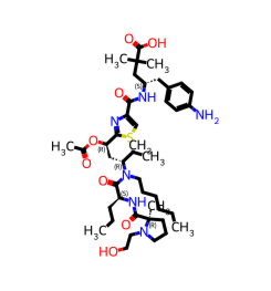 CCCCCCN(C(=O)[C@H](CCC)NC(=O)[C@@]1(C)CCCN1CCO)[C@H](C[C@@H](OC(C)=O)c1nc(C(=O)N[C@@H](Cc2ccc(N)cc2)CC(C)(C)C(=O)O)cs1)C(C)C